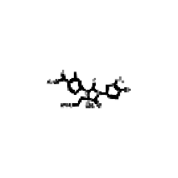 COCC[C@@]1(C)C(=O)N(c2ccc(C#N)c(C(F)(F)F)c2)C(=S)N1c1ccc(C(=O)OC)c(F)c1